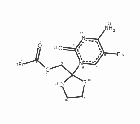 CCCC(=O)OCC1(n2cc(F)c(N)nc2=O)OCCS1